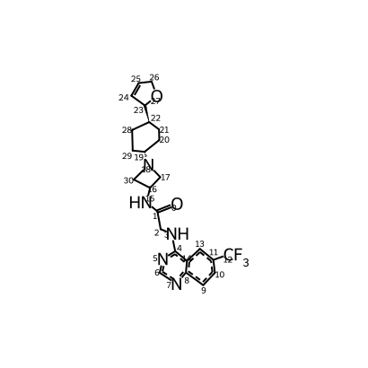 O=C(CNc1ncnc2ccc(C(F)(F)F)cc12)NC1CN([C@H]2CC[C@H](C3C=CCO3)CC2)C1